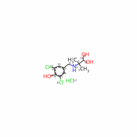 CC(C)(NCc1cc(Cl)c(O)c(Cl)c1)C(O)O.Cl